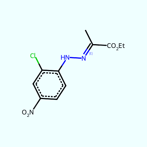 CCOC(=O)/C(C)=N/Nc1ccc([N+](=O)[O-])cc1Cl